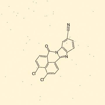 N#Cc1ccc2nc3c4ccc(Cl)c5c(Cl)ccc(c(=O)n3c2c1)c54